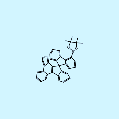 CC1(C)OB(c2cccc3c2-c2ccccc2C32c3ccccc3-c3c2c2ccccc2c2ccccc32)OC1(C)C